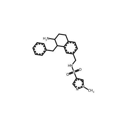 Cn1cc(S(=O)(=O)NCc2ccc3c(c2)C(Cc2ccccc2)C(N)CC3)cn1